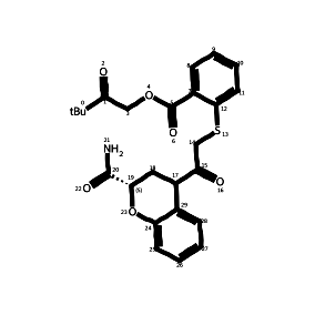 CC(C)(C)C(=O)COC(=O)c1ccccc1SCC(=O)C1C[C@@H](C(N)=O)Oc2ccccc21